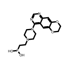 OP(O)CCN1CCN(c2ncnc3cc4c(cc23)OCCO4)CC1